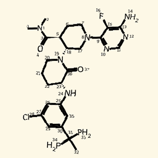 CN(C)C(=O)[C@H]1CCN(c2ncnc(N)c2F)C[C@@H]1N1CCC[C@@H](Nc2cc(Cl)cc(C(C)(P)P)c2)C1=O